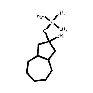 C[Si](C)(C)OC1(C#N)CC2CCCCCC2C1